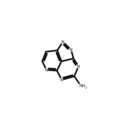 Nc1nc2c3c(ccnc3n1)N=N2